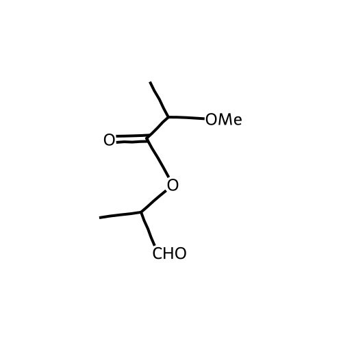 COC(C)C(=O)OC(C)C=O